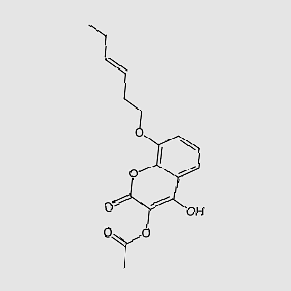 CCC=CCCOc1cccc2c(O)c(OC(C)=O)c(=O)oc12